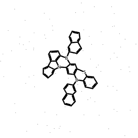 c1ccc2c(c1)Sc1cc3c(cc1B2c1ccc2ccccc2c1)-n1c2ccccc2c2cccc(c21)B3c1ccc2ccccc2c1